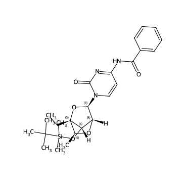 CC[C@]12O[C@@H](n3ccc(NC(=O)c4ccccc4)nc3=O)[C@H](O[C@H]1C)[C@@H]2O[Si](C)(C)C(C)(C)C